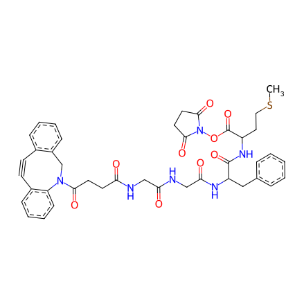 CSCCC(NC(=O)C(Cc1ccccc1)NC(=O)CNC(=O)CNC(=O)CCC(=O)N1Cc2ccccc2C#Cc2ccccc21)C(=O)ON1C(=O)CCC1=O